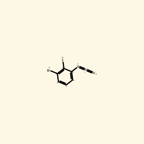 [N-]=[N+]=Nc1cccc(Br)c1F